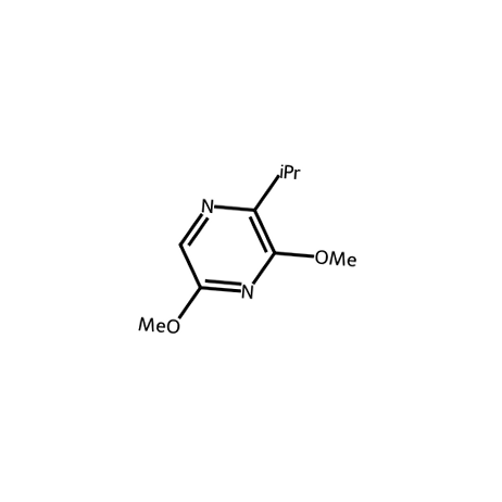 COc1cnc(C(C)C)c(OC)n1